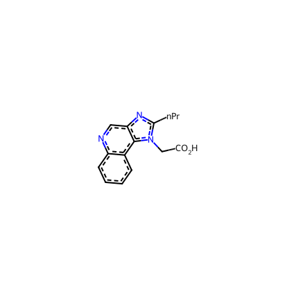 CCCc1nc2cnc3ccccc3c2n1CC(=O)O